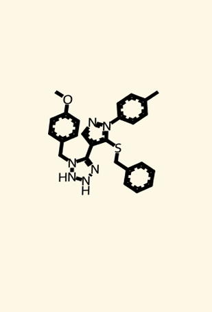 COc1ccc(CN2NNN=C2c2cnn(-c3ccc(C)cc3)c2SCc2ccccc2)cc1